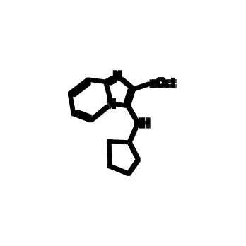 CCCCCCCCc1nc2ccccn2c1NC1CCCC1